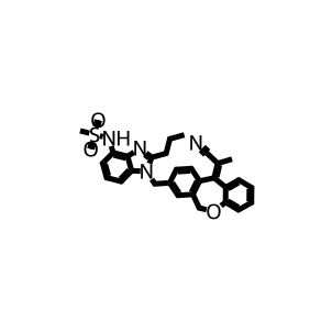 CCCc1nc2c(NS(C)(=O)=O)cccc2n1Cc1ccc2c(c1)COc1ccccc1C2=C(C)C#N